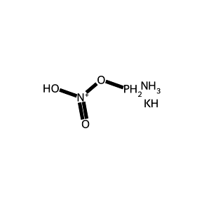 N.O=[N+](O)OP.[KH]